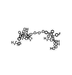 Cc1ncsc1-c1ccc(CNC(=O)[C@@H]2C[C@@H](O)CN2C(=O)[C@@H](NC(=O)COCCOCCOCCOc2ccc(NC(=O)c3c(-c4ccccc4)c(-c4ccc(F)cc4)n(CC[C@@H](O)C[C@@H](O)CC(=O)O)c3C(C)C)cc2)C(C)(C)C)cc1